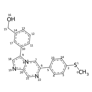 CSc1ccc(-c2cn3c(-c4cccc(CO)c4)cnc3cn2)cc1